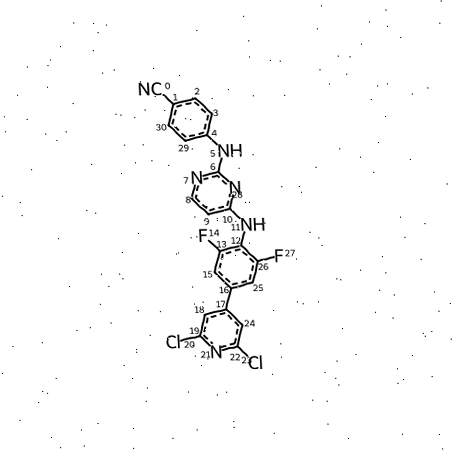 N#Cc1ccc(Nc2nccc(Nc3c(F)cc(-c4cc(Cl)nc(Cl)c4)cc3F)n2)cc1